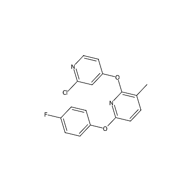 Cc1ccc(Oc2ccc(F)cc2)nc1Oc1ccnc(Cl)c1